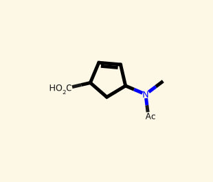 CC(=O)N(C)C1C=CC(C(=O)O)C1